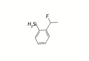 CC(F)c1ccccc1[SiH3]